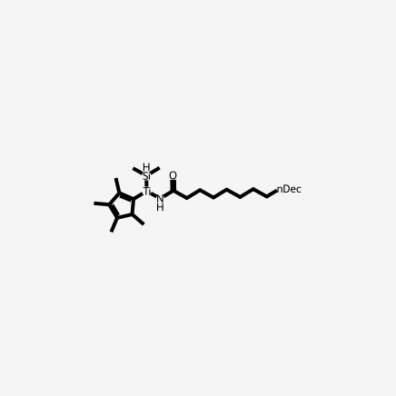 CCCCCCCCCCCCCCCCCC(=O)[NH][Ti]([C]1=C(C)C(C)=C(C)C1C)[SiH](C)C